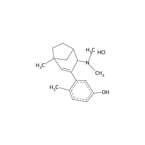 Cc1ccc(O)cc1C1=CC2(C)CCC(C2)C1N(C)C.Cl